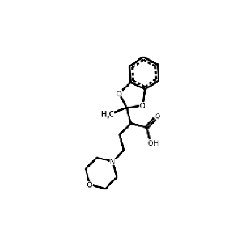 CC1(C(CCN2CCOCC2)C(=O)O)Oc2ccccc2O1